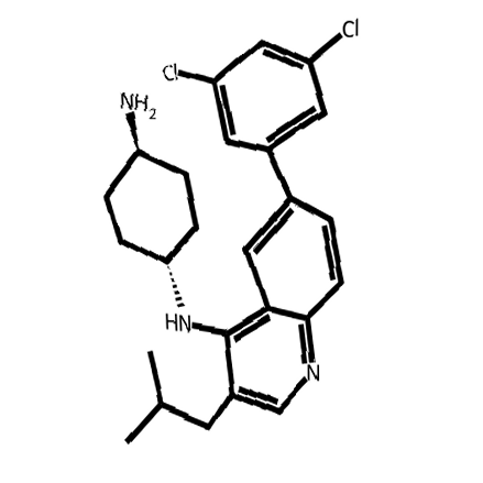 CC(C)Cc1cnc2ccc(-c3cc(Cl)cc(Cl)c3)cc2c1N[C@H]1CC[C@H](N)CC1